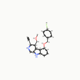 C#Cc1ncc2[nH]c3cccc(OCc4ccc(F)cc4)c3c2c1COC